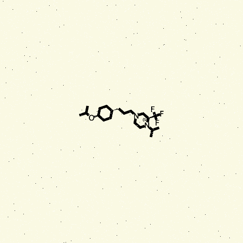 CC(C)O[C@H]1CC[C@H](CCCN2CCN(C(C)C)[C@H](C(F)(F)F)C2)CC1